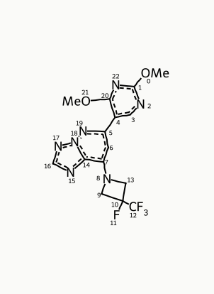 COc1ncc(-c2cc(N3CC(F)(C(F)(F)F)C3)c3ncnn3n2)c(OC)n1